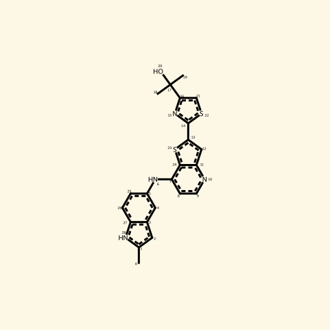 Cc1cc2cc(Nc3ccnc4cc(-c5nc(C(C)(C)O)cs5)sc34)ccc2[nH]1